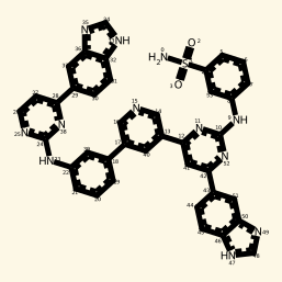 NS(=O)(=O)c1cccc(Nc2nc(-c3cncc(-c4cccc(Nc5nccc(-c6ccc7[nH]cnc7c6)n5)c4)c3)cc(-c3ccc4[nH]cnc4c3)n2)c1